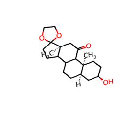 C[C@]12CC(=O)C3C(CC[C@@H]4C[C@H](O)CC[C@]34C)C1CCC21OCCO1